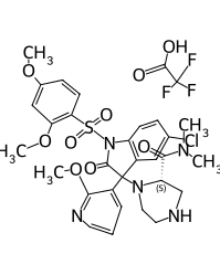 COc1ccc(S(=O)(=O)N2C(=O)C(c3cccnc3OC)(N3CCNC[C@H]3C(=O)N(C)C)c3cc(Cl)ccc32)c(OC)c1.O=C(O)C(F)(F)F